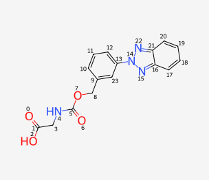 O=C(O)CNC(=O)OCc1cccc(-n2nc3ccccc3n2)c1